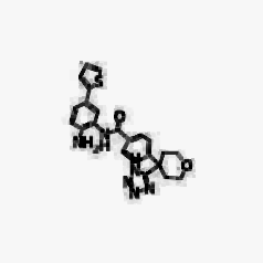 Nc1ccc(-c2cccs2)cc1NC(=O)c1ccc(C2(c3nnn[nH]3)CCOCC2)cc1